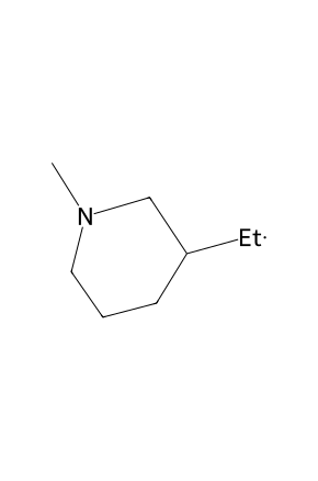 C[CH]C1CCCN(C)C1